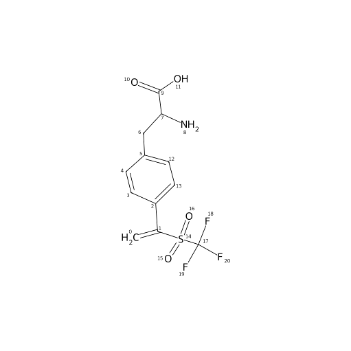 C=C(c1ccc(CC(N)C(=O)O)cc1)S(=O)(=O)C(F)(F)F